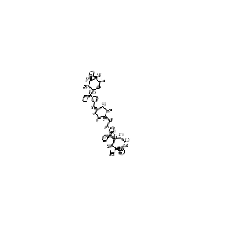 O=C(OCC1CCC(CCOC(=O)C2CCC3O[C@@H]3C2)CC1)C1CCC2OC2C1